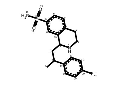 CC(CC1NCCc2ccc(S(N)(=O)=O)cc21)c1ccc(F)cc1